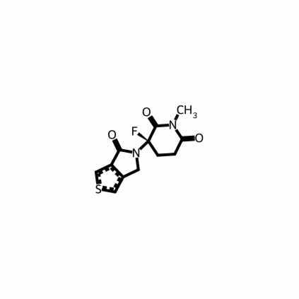 CN1C(=O)CC[C@](F)(N2Cc3cscc3C2=O)C1=O